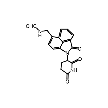 O=CNCc1ccc2c3c(cccc13)C(=O)N2C1CCC(=O)NC1=O